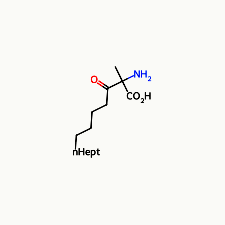 CCCCCCCCCCCC(=O)C(C)(N)C(=O)O